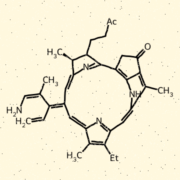 C=CC(/C(C)=C\N)=C1\C=C2N=C(/C=c3\[nH]c4c(c3C)C(=O)CC=4C3=N/C(=C\1)[C@@H](C)C3CCC(C)=O)C(CC)=C/2C